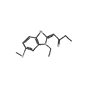 CCC(=O)/C=C1/[Se]c2ccc(OC)cc2N1CC